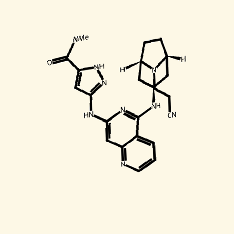 CNC(=O)c1cc(Nc2cc3ncccc3c(N[C@@H]3C[C@H]4CC[C@@H](C3)N4CCC#N)n2)n[nH]1